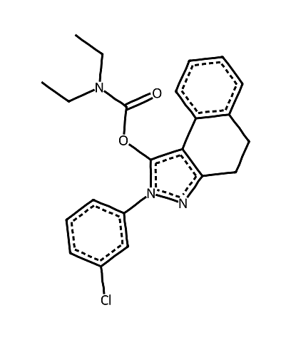 CCN(CC)C(=O)Oc1c2c(nn1-c1cccc(Cl)c1)CCc1ccccc1-2